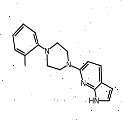 Cc1ccccc1N1CCN(c2ccc3cc[nH]c3n2)CC1